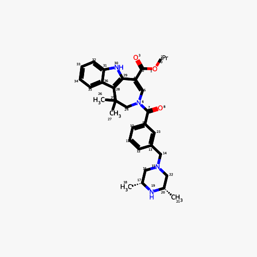 CC(C)OC(=O)C1=CN(C(=O)c2cccc(CN3C[C@@H](C)N[C@@H](C)C3)c2)CC(C)(C)c2c1[nH]c1ccccc21